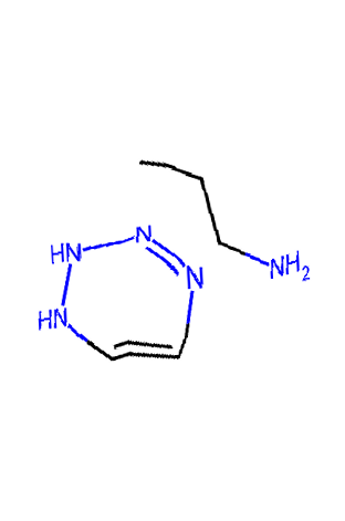 C1=CNNN=N1.CCCN